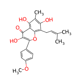 COc1ccc(-c2oc3c(CC=C(C)C)c(O)c(C)c(O)c3c(=O)c2O)cc1